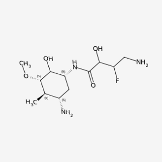 CO[C@@H]1C(O)[C@H](NC(=O)C(O)C(F)CN)C[C@H](N)[C@H]1C